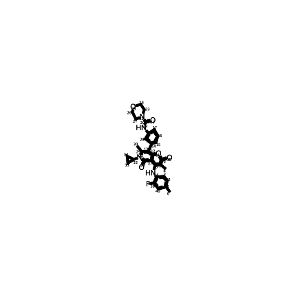 Cc1ccc(Nc2c(C)c(=O)oc3c(-c4cccc(NC(=O)N5CCOCC5)c4)c(C)n(C4CC4)c(=O)c23)c(F)c1